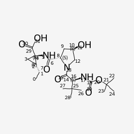 CC[C@@H]1C[C@]1(NC(=O)[C@@H]1C[C@@H](O)CN1C(=O)[C@@H](NC(=O)OC(C)(C)C)C(C)(C)C)C(=O)O